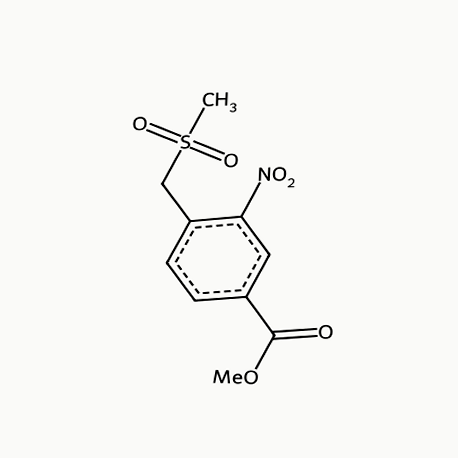 COC(=O)c1ccc(CS(C)(=O)=O)c([N+](=O)[O-])c1